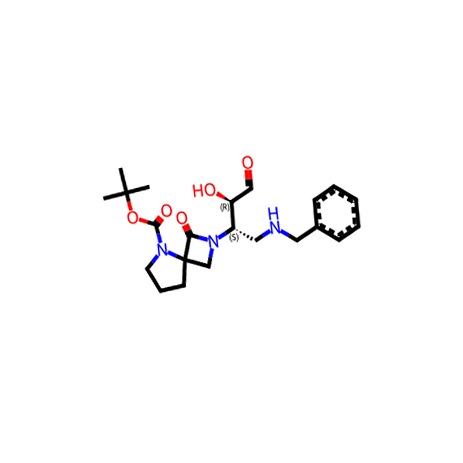 CC(C)(C)OC(=O)N1CCCC12CN([C@@H](CNCc1ccccc1)[C@@H](O)C=O)C2=O